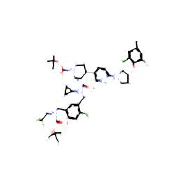 Cc1cc(Cl)c(O[C@@H]2CCN(c3ccc([C@@H]4CCN(C(=O)OC(C)(C)C)C[C@H]4C(=O)N(Cc4cc(CN(CC(F)F)C(=O)OC(C)(C)C)ccc4Cl)C4CC4)cn3)C2)c(Cl)c1